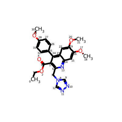 CCOC(=O)c1c(Cn2cnnc2)nc2cc(OC)c(OC)cc2c1-c1ccc(OC)cc1